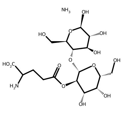 N.NC(CCC(=O)O[C@H]1[C@H](O[C@H]2[C@H](O)[C@@H](O)[C@H](O)O[C@@H]2CO)O[C@H](CO)[C@H](O)[C@@H]1O)C(=O)O